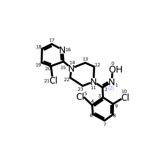 O/N=C(/c1c(Cl)cccc1Cl)N1CCN(c2ncccc2Cl)CC1